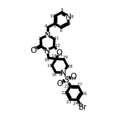 O=C1CN(Cc2ccncc2)CC2OC3(CCN(S(=O)(=O)c4ccc(Br)cc4)CC3)CN12